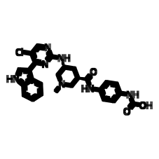 CN1C[C@H](Nc2ncc(Cl)c(-c3c[nH]c4ccccc34)n2)C[C@@H](C(=O)Nc2ccc(NC(=O)O)cc2)C1